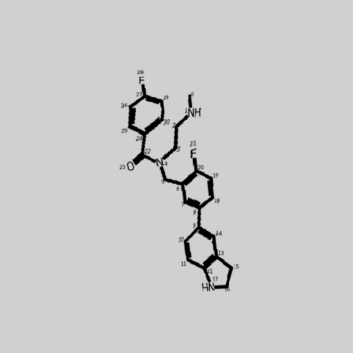 CNCCN(Cc1cc(-c2ccc3c(c2)CCN3)ccc1F)C(=O)c1ccc(F)cc1